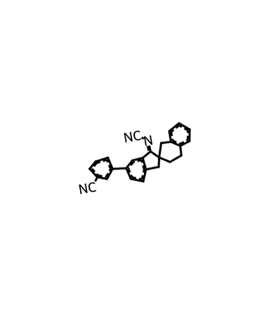 N#CN=C1c2cc(-c3cccc(C#N)c3)ccc2CC12CCc1ccccc1C2